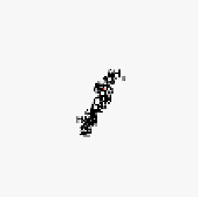 COc1cc2c(Oc3ccc(NC(=O)C(=O)NC4CC5C=CC=CC5C4)cc3F)ccnc2cc1OCC1CCN(C)CC1